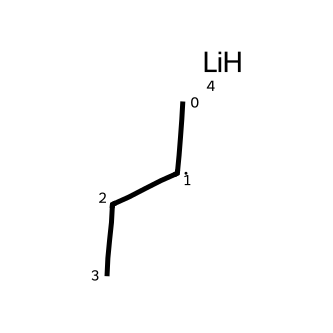 C[CH]CC.[LiH]